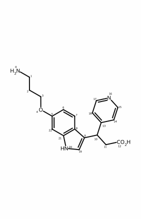 NCCCOc1ccc2c(C(CC(=O)O)c3ccncc3)c[nH]c2c1